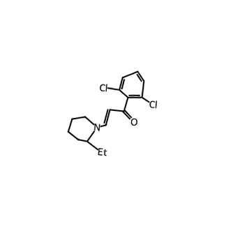 CCC1CCCCN1C=CC(=O)c1c(Cl)cccc1Cl